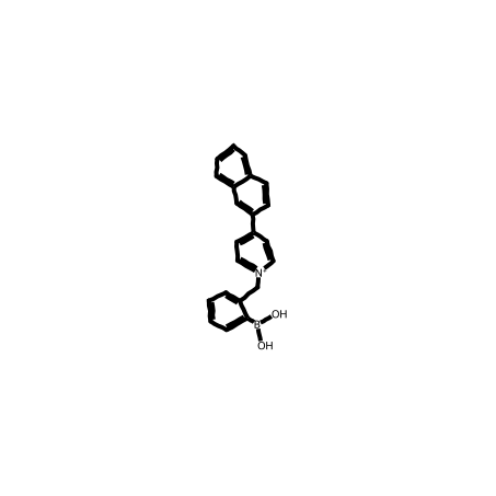 OB(O)c1ccccc1C[n+]1ccc(-c2ccc3ccccc3c2)cc1